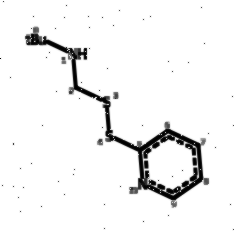 CC(C)(C)NCSSc1ccccn1